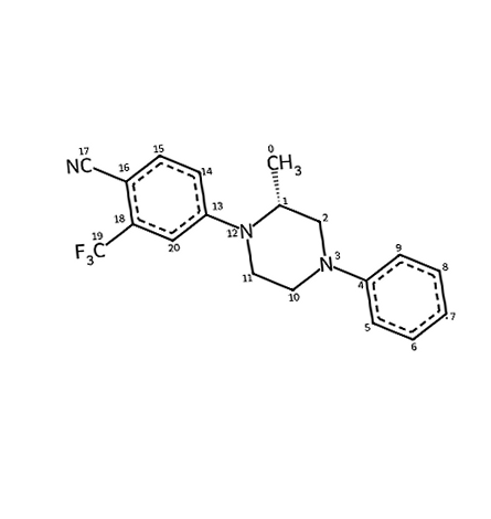 C[C@@H]1CN(c2cc[c]cc2)CCN1c1ccc(C#N)c(C(F)(F)F)c1